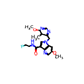 COc1cnc2c(C(=O)NCCF)cn(CC3=NC=NC(OC)C3C)c2c1